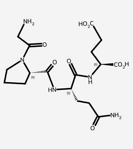 NCC(=O)N1CCC[C@H]1C(=O)N[C@@H](CCC(N)=O)C(=O)N[C@@H](CCC(=O)O)C(=O)O